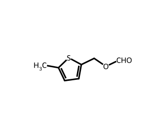 Cc1ccc(COC=O)s1